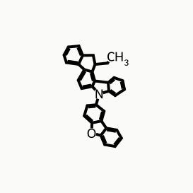 CCC1Cc2ccccc2-c2ccc3c(c21)c1ccccc1n3-c1ccc2oc3ccccc3c2c1